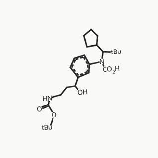 CC(C)(C)OC(=O)NCCC(O)c1cccc(N(C(=O)O)C(C2CCCC2)C(C)(C)C)c1